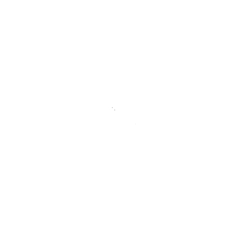 FC(F)(F)c1ccc2c(c1)c(Sc1ccccc1)cn2-c1cccc(I)c1